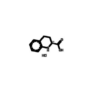 Cl.O=C(O)[C@@H]1CCc2ccccc2N1